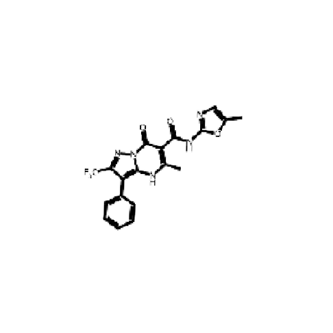 Cc1cnc(NC(=O)c2c(C)[nH]c3c(-c4ccccc4)c(C(F)(F)F)nn3c2=O)o1